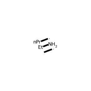 [CH2]C.[CH2]CCC.[CH2]CN